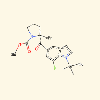 CCCC1(C(=O)c2cc(F)c3c(ccn3[Si](C)(C)C(C)(C)C)c2)CCCN1C(=O)OC(C)(C)C